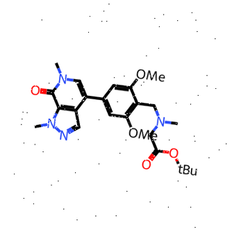 COc1cc(-c2cn(C)c(=O)c3c2cnn3C)cc(OC)c1CN(C)CC(=O)OC(C)(C)C